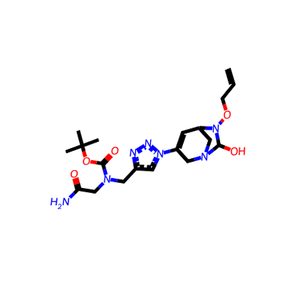 C=CCON1C2C=C(n3cc(CN(CC(N)=O)C(=O)OC(C)(C)C)nn3)CN(C2)C1O